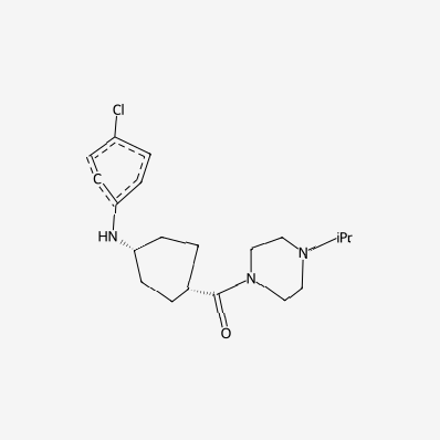 CC(C)N1CCN(C(=O)[C@H]2CC[C@@H](Nc3ccc(Cl)cc3)CC2)CC1